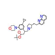 CC(C)(C)OC(=O)CC(CN1CC[C@@H](CCc2ccc3cccnc3n2)C1)c1cc(C2CC2)cc(N2CCOCC2)c1